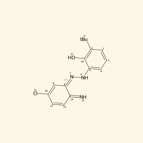 CC(C)(C)c1cccc(N/N=C2/C=C(Cl)C=CC2=N)c1O